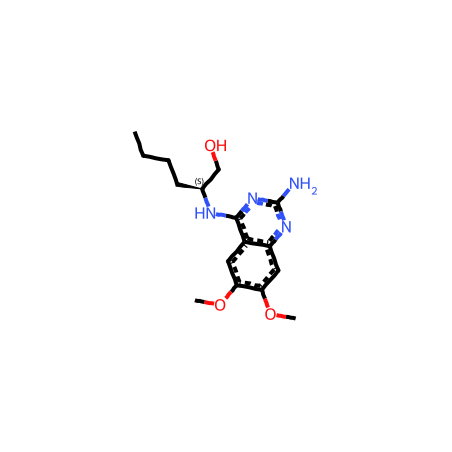 CCCC[C@@H](CO)Nc1nc(N)nc2cc(OC)c(OC)cc12